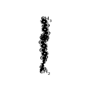 C=CC(=O)OCCCCOC(=O)Oc1ccc(C(=O)Oc2ccc(C(=O)O[C@H]3CO[C@H]4[C@@H]3OC[C@@H]4OC(=O)c3ccc(OC(=O)c4ccc(C)cc4)cc3)cc2)cc1